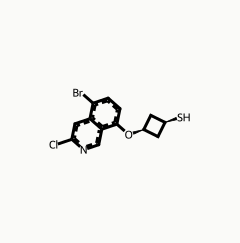 S[C@H]1C[C@@H](Oc2ccc(Br)c3cc(Cl)ncc23)C1